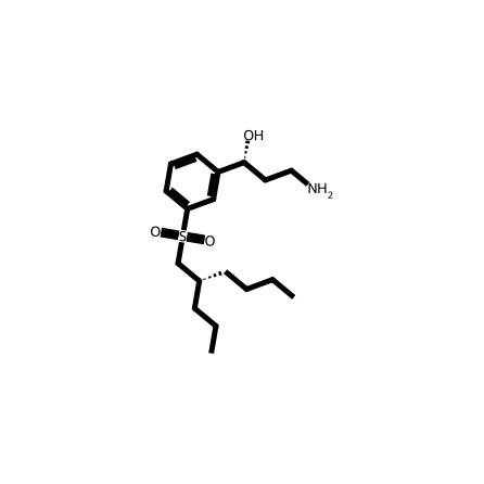 CCCC[C@H](CCC)CS(=O)(=O)c1cccc([C@H](O)CCN)c1